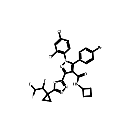 O=C(NC1CCC1)c1c(-c2nnc(C3(C(F)C(F)F)CC3)o2)nn(-c2ccc(Cl)cc2Cl)c1-c1ccc(Br)cc1